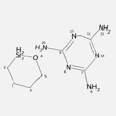 C1CC[SiH2]OC1.Nc1nc(N)nc(N)n1